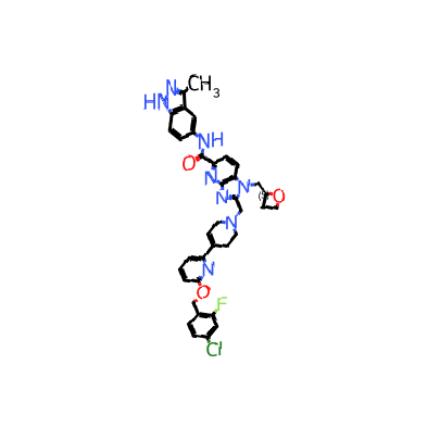 Cc1n[nH]c2ccc(NC(=O)c3ccc4c(n3)nc(CN3CC=C(c5cccc(OCc6ccc(Cl)cc6F)n5)CC3)n4C[C@@H]3CCO3)cc12